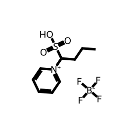 CCCC([n+]1ccccc1)S(=O)(=O)O.F[B-](F)(F)F